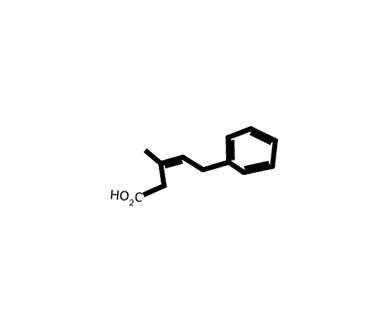 CC(=CCc1ccccc1)CC(=O)O